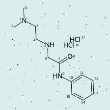 CN(C)CCNCC(=O)Nc1ccccc1.Cl.Cl